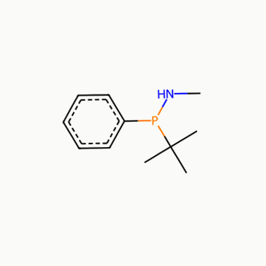 CNP(c1ccccc1)C(C)(C)C